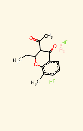 B.CCC1Oc2c(C)cccc2C(=O)C1C(C)=O.F.F